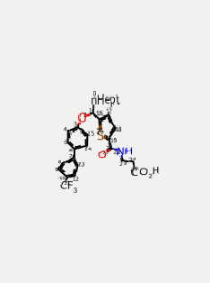 CCCCCCCC(Oc1ccc(-c2ccc(C(F)(F)F)cc2)cc1)c1ccc(C(=O)NCCC(=O)O)s1